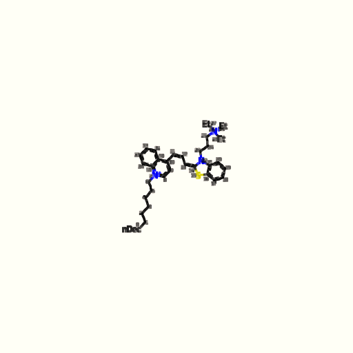 CCCCCCCCCCCCCCCC[n+]1ccc(/C=C\C=C2\Sc3ccccc3N2CCC[N+](CC)(CC)CC)c2ccccc21